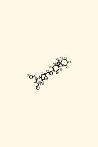 COCc1cc(=O)nc2n1CC(COc1ccc(C3(C)C4CCCC3CCC4)cc1)O2